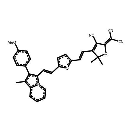 COc1ccc(-c2c(C)c3ccccn3c2/C=C/c2ccc(/C=C/C3=C(C#N)C(=C(C#N)C#N)OC3(C)C)o2)cc1